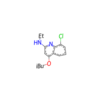 CCNc1cc(OC(C)CC)c2cccc(Cl)c2n1